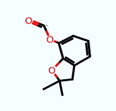 CC1(C)Cc2cccc(O[C]=O)c2O1